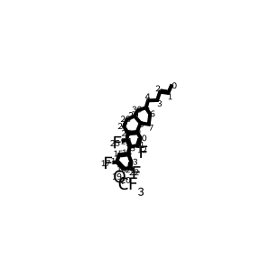 CC=CCCC1CCC2c3cc(F)c(-c4cc(F)c(OC(F)(F)F)c(F)c4)c(F)c3CCC2C1